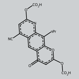 CCCc1c2nc(OC(=O)O)cc(C#N)c2cc2c(=O)cc(OC(=O)O)oc12